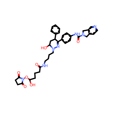 O=C(CCCC(O)ON1C(=O)CCC1=O)NCCCCN1N=C(c2ccc(NC(=O)N3Cc4ccncc4C3)cc2)C(c2ccccc2)CC1O